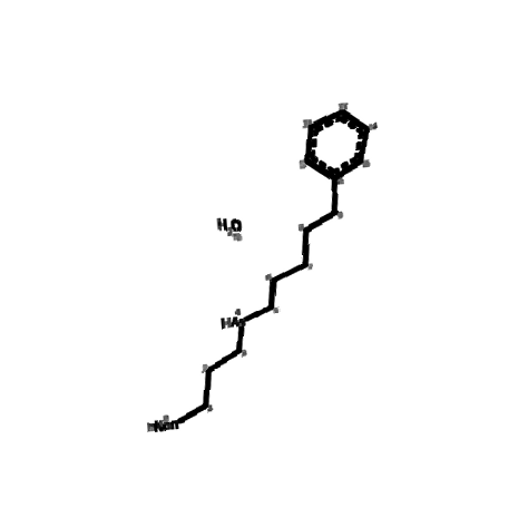 CCCCCCCCCCCC[AsH]CCCCCc1ccccc1.O